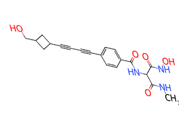 CNC(=O)C(NC(=O)c1ccc(C#CC#CC2CC(CO)C2)cc1)C(=O)NO